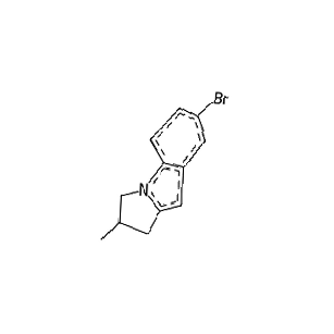 CC1Cc2cc3cc(Br)ccc3n2C1